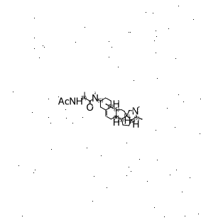 CC(=O)N[C@H](C)C(=O)N(C)[C@H]1CC[C@@]2(C)C(=CC[C@H]3[C@@H]4CC[C@@H]5[C@H](C)N(C)C[C@@]54CC[C@@H]32)C1